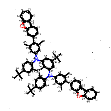 Cc1cc(N2c3ccc(C(C)(C)C)cc3B3c4cc(C(C)(C)C)ccc4N(c4cc(C)c(-c5ccc6c(c5)oc5ccccc56)c(C)c4)c4cc(C(C)(C)C)cc2c43)cc(C)c1-c1ccc2c(c1)oc1ccccc12